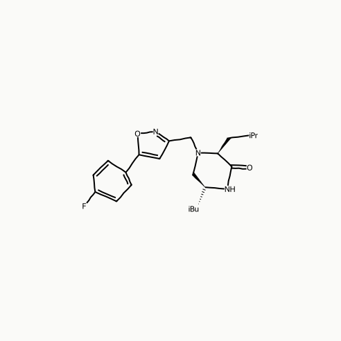 CC[C@@H](C)[C@H]1CN(Cc2cc(-c3ccc(F)cc3)on2)[C@@H](CC(C)C)C(=O)N1